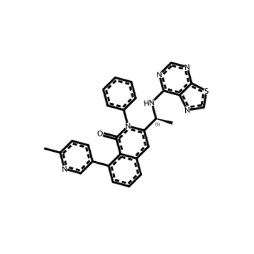 Cc1ccc(-c2cccc3cc([C@H](C)Nc4ncnc5scnc45)n(-c4ccccc4)c(=O)c23)cn1